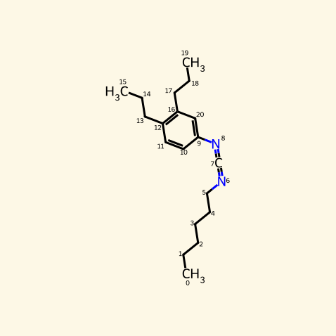 CCCCCCN=C=Nc1ccc(CCC)c(CCC)c1